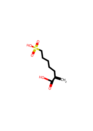 C=C(CCCCCS(=O)(=O)O)C(=O)O